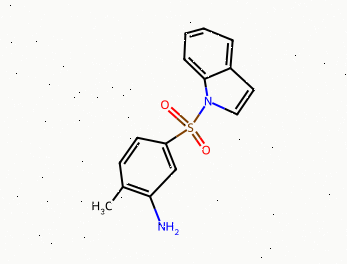 Cc1ccc(S(=O)(=O)n2ccc3ccccc32)cc1N